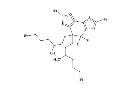 CC(C)CCCC(C)CCC1(CCC(C)CCCC(C)C)c2cc(C(C)C)sc2-c2sc(C(C)C)cc2C1(F)F